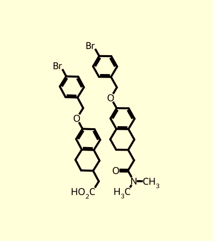 CN(C)C(=O)CC1CCc2cc(OCc3ccc(Br)cc3)ccc2C1.O=C(O)CC1CCc2cc(OCc3ccc(Br)cc3)ccc2C1